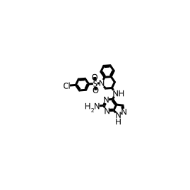 Nc1nc(NC2Cc3ccccc3N(S(=O)(=O)c3ccc(Cl)cc3)C2)c2cn[nH]c2n1